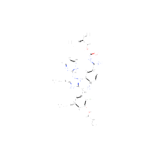 [CH2]Oc1nc([C@H](Nc2ccc(/C(N)=N/C(=O)OCC(=C)C)cc2)c2cc(OC)cc(OCCOC(C)=O)c2F)nn1-c1ncccn1